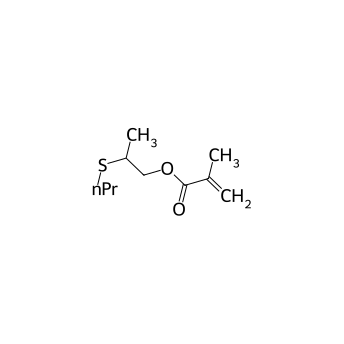 C=C(C)C(=O)OCC(C)SCCC